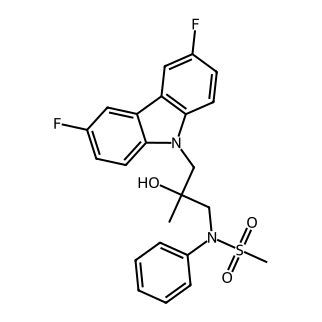 CC(O)(CN(c1ccccc1)S(C)(=O)=O)Cn1c2ccc(F)cc2c2cc(F)ccc21